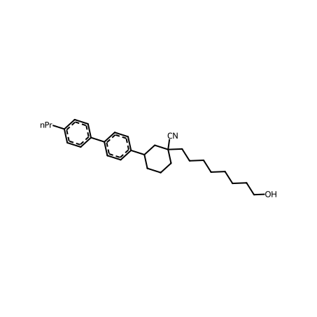 CCCc1ccc(-c2ccc(C3CCCC(C#N)(CCCCCCCCO)C3)cc2)cc1